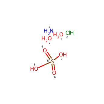 Cl.N.O.O.O=S(=O)(O)O